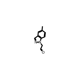 Cc1ccc2c(cnn2CC=O)c1